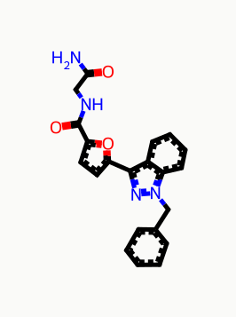 NC(=O)CNC(=O)c1ccc(-c2nn(Cc3ccccc3)c3ccccc23)o1